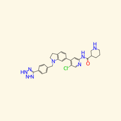 O=C(Nc1cc(-c2ccc3c(c2)N(Cc2ccc(-c4nn[nH]n4)cc2)CC3)c(Cl)cn1)C1CCCNC1